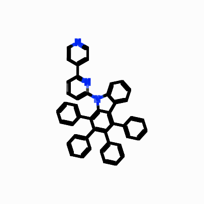 c1ccc(-c2c(-c3ccccc3)c(-c3ccccc3)c3c(c2-c2ccccc2)c2ccccc2n3-c2cccc(-c3ccncc3)n2)cc1